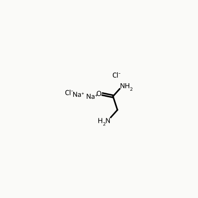 NCC(N)=O.[Cl-].[Cl-].[Na+].[Na+]